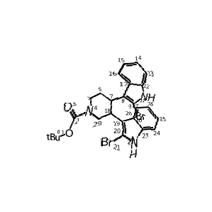 CC(C)(C)OC(=O)N1CCC(c2c(Br)[nH]c3ccccc23)C(c2c(Br)[nH]c3ccccc23)C1